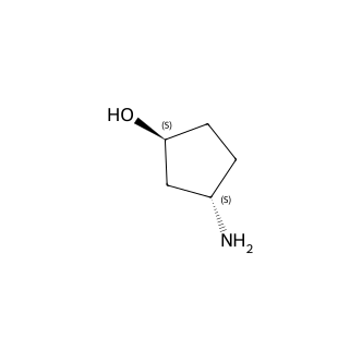 N[C@H]1CC[C@H](O)C1